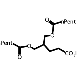 CCCCCC(=O)OCC(CCC(=O)O)COC(=O)CCCCC